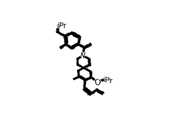 C=C/C=C\C1=C(C)CC2(CCN(C(=C)c3ccc(CC(C)C)c(C)c3)CC2)CC1OC(C)C